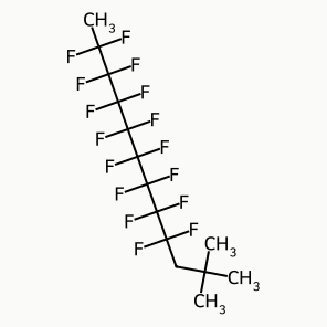 CC(C)(C)CC(F)(F)C(F)(F)C(F)(F)C(F)(F)C(F)(F)C(F)(F)C(F)(F)C(C)(F)F